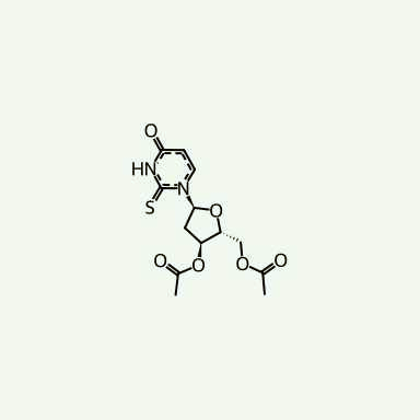 CC(=O)OC[C@H]1O[C@H](n2ccc(=O)[nH]c2=S)C[C@@H]1OC(C)=O